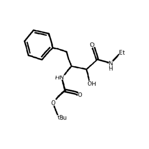 CCNC(=O)C(O)C(Cc1ccccc1)NC(=O)OC(C)(C)C